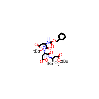 CC(C)(C)OC(=O)CC(NC(=O)C(CC(=O)OC(C)(C)C)NC(=O)C(CC(=O)OC(C)(C)C)NC(=O)OCc1ccccc1)C(=O)O